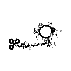 CO[C@@H]1/C=C/C=C(\C)Cc2cc(C)c(Cl)c(c2)N(C)C(=O)C[C@H](OC(=O)[C@H](C)N(C)C(=O)CCOCCOCCNC(=O)CN2N=C(CCSC(c3ccccc3)(c3ccccc3)c3ccccc3)CC2=O)[C@]2(C)OC2[C@H](C)[C@@H]2C[C@@]1(O)NC(=O)O2